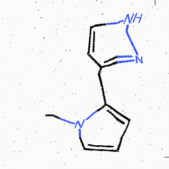 Cn1cccc1-c1cc[nH]n1